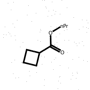 CCCOC(=O)C1C[CH]C1